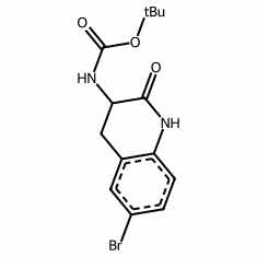 CC(C)(C)OC(=O)NC1Cc2cc(Br)ccc2NC1=O